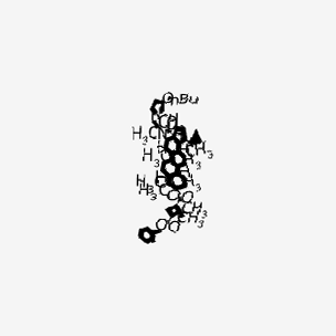 CCCCO[C@@H]1CCN(CC(C)(C)NC(=O)[C@]23CC[C@@H](C4(C)CC4)[C@@H]2[C@H]2CC[C@@H]4[C@@]5(C)CC[C@H](OC(=O)[C@H]6C[C@@H](C(=O)OCc7ccccc7)C6(C)C)C(C)(C)[C@@H]5CC[C@@]4(C)[C@]2(C)CC3)C1